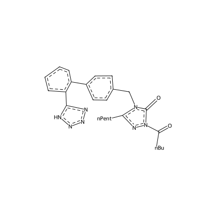 CCCCCc1nn(C(=O)CCCC)c(=O)n1Cc1ccc(-c2ccccc2-c2nnn[nH]2)cc1